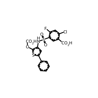 O=C(O)Oc1sc(-c2ccccc2)cc1NS(=O)(=O)c1cc(C(=O)O)c(Cl)cc1F